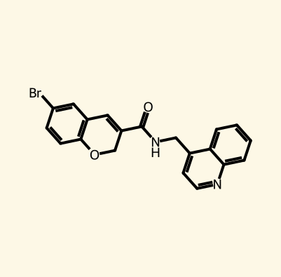 O=C(NCc1ccnc2ccccc12)C1=Cc2cc(Br)ccc2OC1